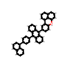 c1ccc2c(-c3ccc(-c4c5ccccc5c(-c5ccc6c(c5)-c5cccc7cccc(c57)O6)c5ccccc45)cc3)cccc2c1